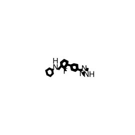 Fc1c(CNC2CCCCC2)cccc1-c1ccc(-c2nc[nH]n2)cc1